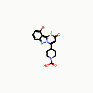 O=C(O)N1CCC(c2cc(=O)[nH]c3c4c(Br)cccc4nn23)CC1